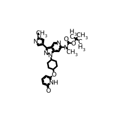 CN(C(=O)OC(C)(C)C)c1cc2c(cn1)c(-c1cnn(C)c1)nn2C1CCC(Oc2cccc(=O)[nH]2)CC1